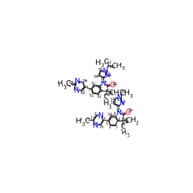 Cc1cnc(-c2ccc3c(c2)N(c2ccn(C)n2)C(=O)C3(C)C)cn1.Cc1ncc(-c2ccc3c(c2)N(c2ccn(C(C)C)n2)C(=O)C3(C)C)cn1